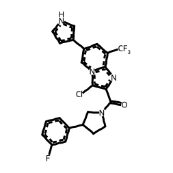 O=C(c1nc2c(C(F)(F)F)cc(-c3cc[nH]c3)cn2c1Cl)N1CCC(c2cccc(F)c2)C1